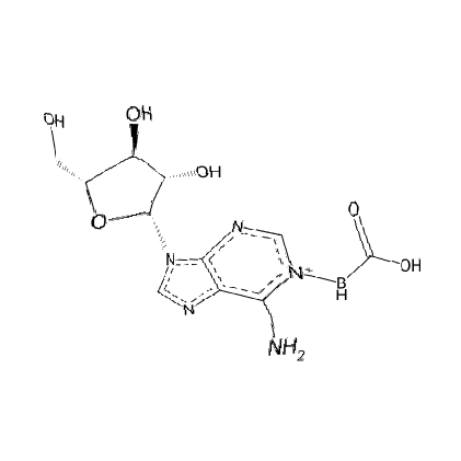 Nc1c2ncn([C@@H]3O[C@H](CO)[C@@H](O)[C@@H]3O)c2nc[n+]1BC(=O)O